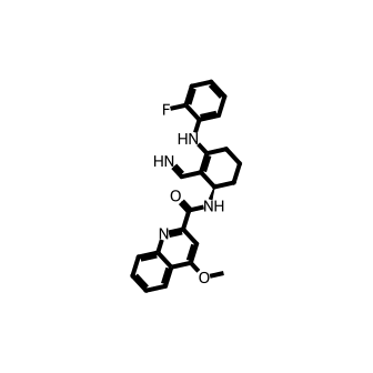 COc1cc(C(=O)N[C@@H]2CCCC(Nc3ccccc3F)=C2C=N)nc2ccccc12